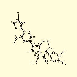 CCOC(=O)C1(c2ccc(F)c(F)c2)CCCn2c(-c3ccc(-c4cnc(C)o4)c(OC)c3)nnc21